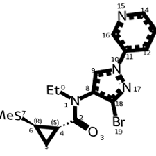 CCN(C(=O)[C@@H]1C[C@H]1SC)c1cn(-c2cccnc2)nc1Br